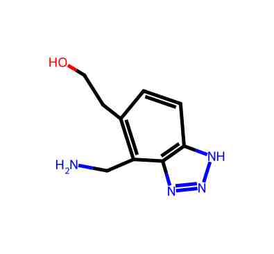 NCc1c(CCO)ccc2[nH]nnc12